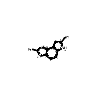 CC(C)c1cc2c(ccc3nc(C(C)C)sc32)[nH]1